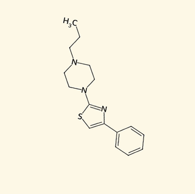 CCCN1CCN(c2nc(-c3ccccc3)cs2)CC1